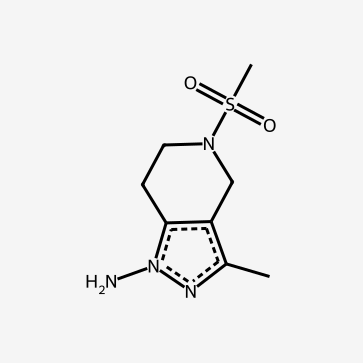 Cc1nn(N)c2c1CN(S(C)(=O)=O)CC2